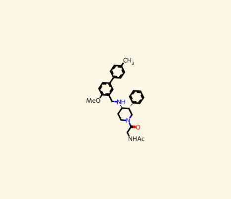 COc1ccc(-c2ccc(C)cc2)cc1CN[C@H]1CCN(C(=O)CNC(C)=O)C[C@H]1c1ccccc1